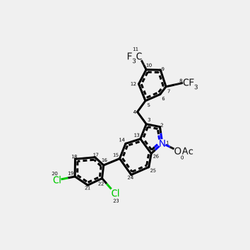 CC(=O)On1cc(Cc2cc(C(F)(F)F)cc(C(F)(F)F)c2)c2cc(-c3ccc(Cl)cc3Cl)ccc21